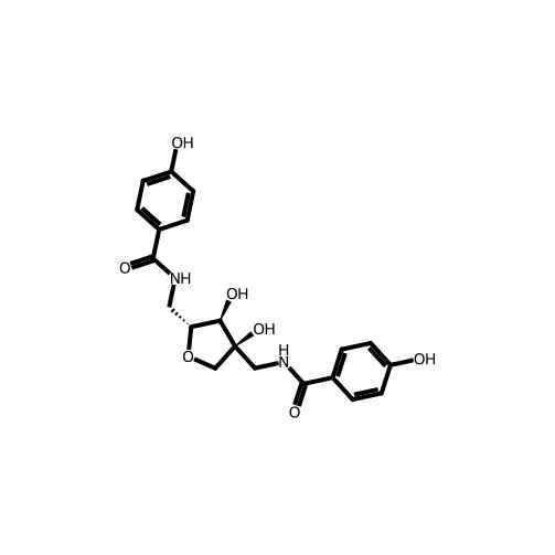 O=C(NC[C@H]1OC[C@@](O)(CNC(=O)c2ccc(O)cc2)[C@@H]1O)c1ccc(O)cc1